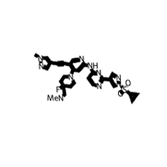 CNCC1(F)CCN(c2cc(Nc3ccnc(-c4cnn(S(=O)(=O)C5CC5)c4)n3)ncc2C#Cc2cnn(C)c2)CC1